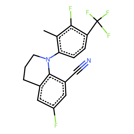 Cc1c(N2CCCc3cc(F)cc(C#N)c32)ccc(C(F)(F)F)c1F